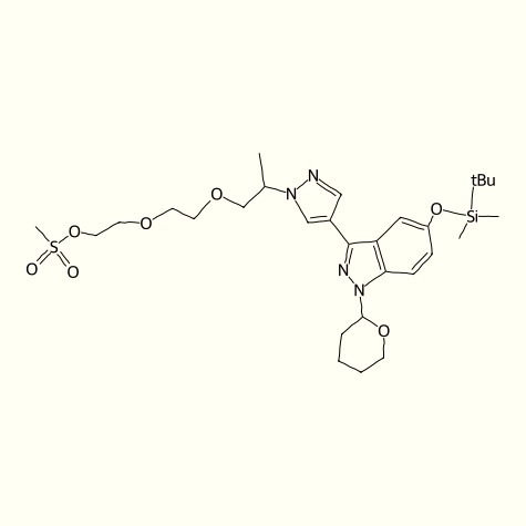 CC(COCCOCCOS(C)(=O)=O)n1cc(-c2nn(C3CCCCO3)c3ccc(O[Si](C)(C)C(C)(C)C)cc23)cn1